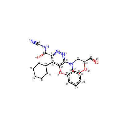 N#CNC(=O)c1nnc(N2CCO[C@H](C=O)C2)c(Oc2ccccc2)c1C1CCCCC1